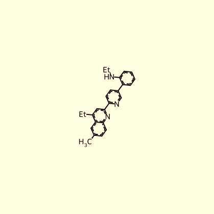 CCNc1ccccc1-c1ccc(-c2cc(CC)c3cc(C)ccc3n2)nc1